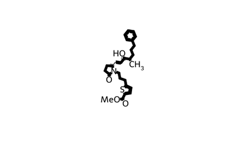 COC(=O)c1ccc(CCCN2C(=O)CC[C@@H]2C=C[C@@H](O)C(C)CCCc2ccccc2)s1